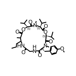 CCCC1NC(=O)CNC(=O)[C@@H](Cc2ccc(OC)cc2)N(C)C(=O)[C@H](C(C)C)OC(=O)[C@H](C(C)C)N(C)C(=O)[C@H](C(C)C)OC(=O)C1C